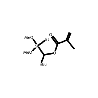 C=C(C)C(=O)OC(CCCC)[Si](CC)(OC)OC